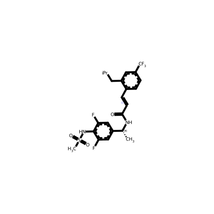 CC(C)Cc1cc(C(F)(F)F)ccc1/C=C/C(=O)N[C@H](C)c1cc(F)c(NS(C)(=O)=O)c(F)c1